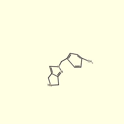 Cc1ccc(Cn2cc3c(n2)CNC3)cc1